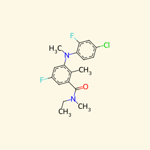 CCN(C)C(=O)c1cc(F)cc(N(C)c2ccc(Cl)cc2F)c1C